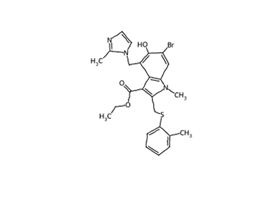 CCOC(=O)c1c(CSc2ccccc2C)n(C)c2cc(Br)c(O)c(Cn3ccnc3C)c12